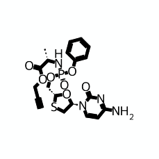 C#CCOC(=O)[C@H](C)NP(=O)(OC[C@@H]1O[C@H](n2ccc(N)nc2=O)CS1)Oc1ccccc1